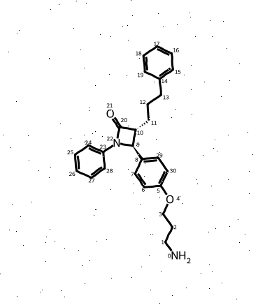 NCCCOc1ccc([C@@H]2[C@@H](CCCc3ccccc3)C(=O)N2c2ccccc2)cc1